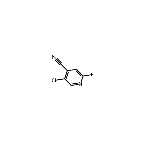 N#Cc1cc(F)ncc1Cl